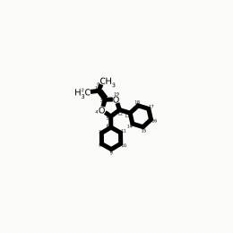 CC(C)=C1OC(C2CCCCC2)C(C2CCCCC2)O1